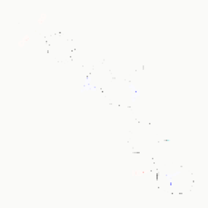 Cc1nc(-c2ccc(C3(O)CC4CCC(C3)N4C(C)C)c(F)c2)cc2c1cc(-c1ccc(S(C)(=O)=O)cc1)n2C